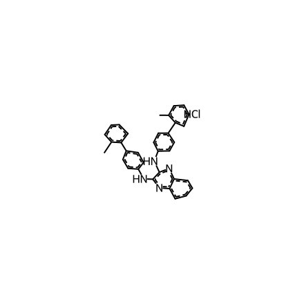 Cc1ccccc1-c1ccc(Nc2nc3ccccc3nc2Nc2ccc(-c3ccccc3C)cc2)cc1.Cl